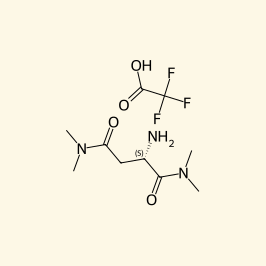 CN(C)C(=O)C[C@H](N)C(=O)N(C)C.O=C(O)C(F)(F)F